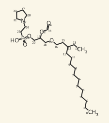 CCCCCCCCCCCCC(CC)CCOCC(COP(=O)(O)CCN1CCCC1)OC=O